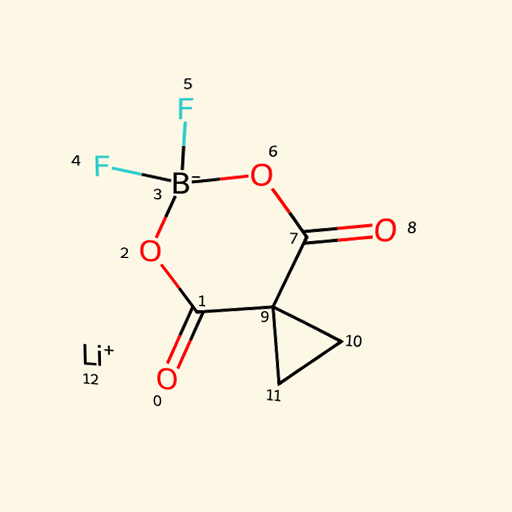 O=C1O[B-](F)(F)OC(=O)C12CC2.[Li+]